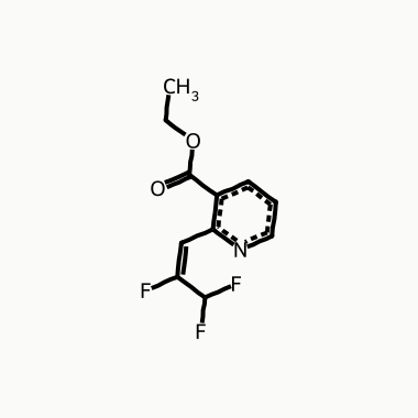 CCOC(=O)c1cccnc1/C=C(/F)C(F)F